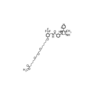 COC(=O)CCCCCOCCOCCOCCCCCCOc1ccc(C(F)(F)F)c(CNC(=O)c2cccc(NCC(=N)N(C)C(=N)c3ccncn3)c2)c1